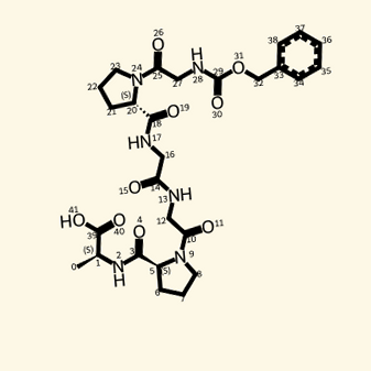 C[C@H](NC(=O)[C@@H]1CCCN1C(=O)CNC(=O)CNC(=O)[C@@H]1CCCN1C(=O)CNC(=O)OCc1ccccc1)C(=O)O